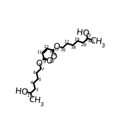 CC(O)CCCCCOC(=O)/C=C\C(=O)OCCCCCC(C)O